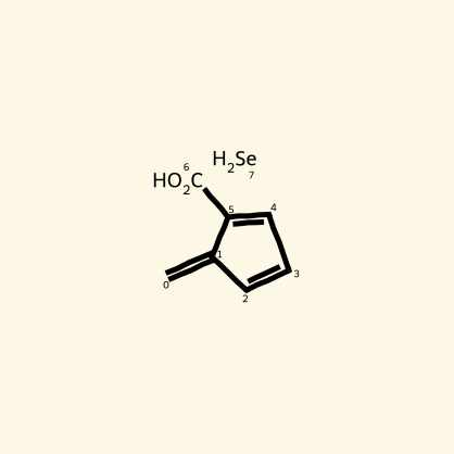 C=C1C=CC=C1C(=O)O.[SeH2]